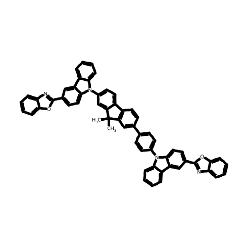 CC1(C)c2cc(-c3ccc(-n4c5ccccc5c5cc(-c6nc7ccccc7o6)ccc54)cc3)ccc2-c2ccc(-n3c4ccccc4c4cc(-c5nc6ccccc6o5)ccc43)cc21